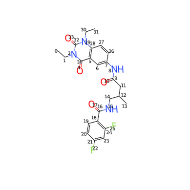 CCn1c(=O)c2cc(NC(=O)CC(C)CNC(=O)c3ccc(F)cc3F)ccc2n(CC)c1=O